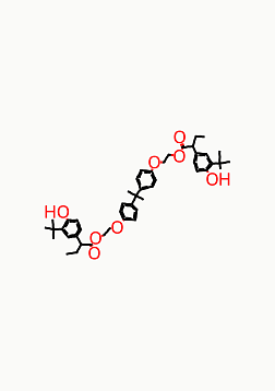 CCC(C(=O)OCCOc1ccc(C(C)(C)c2ccc(OCCOC(=O)C(CC)c3ccc(O)c(C(C)(C)C)c3)cc2)cc1)c1ccc(O)c(C(C)(C)C)c1